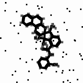 Cc1ccccc1NC(=O)c1cccc2c1C(C)(C)C1(C=Nc3c(ccc4ccccc34)O1)N2C